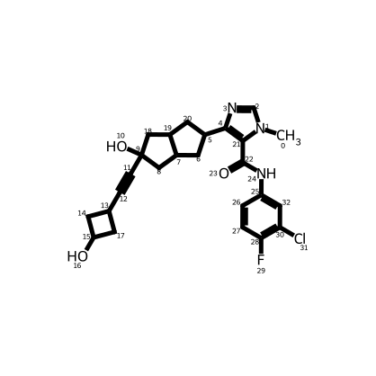 Cn1cnc(C2CC3CC(O)(C#CC4CC(O)C4)CC3C2)c1C(=O)Nc1ccc(F)c(Cl)c1